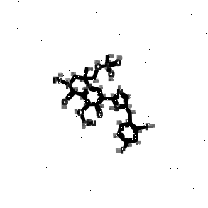 CCCCOc1c2n(cc(-c3ncc(Cc4ccc(F)cc4F)s3)c1=O)C(C)(COS(C)(=O)=O)CN(C(C)C)C2=O